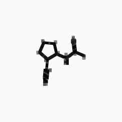 CC(=O)NC1CCCC1C#N